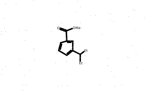 CCC(CC)c1cccc(C(=O)OC)c1